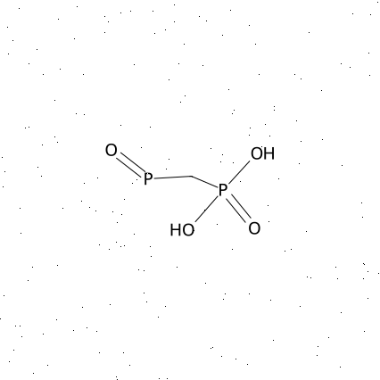 O=PCP(=O)(O)O